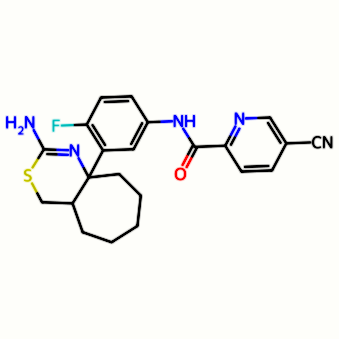 N#Cc1ccc(C(=O)Nc2ccc(F)c(C34CCCCCC3CSC(N)=N4)c2)nc1